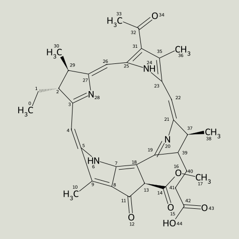 CC[C@H]1c2cc3[nH]c4c(c3C)C(=O)[C@H](C(=O)OC)c4c3nc(cc4[nH]c(cc(n2)[C@@H]1C)c(C(C)=O)c4C)[C@@H](C)C3CCC(=O)O